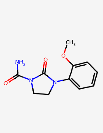 COc1ccccc1N1CCN(C(N)=O)C1=O